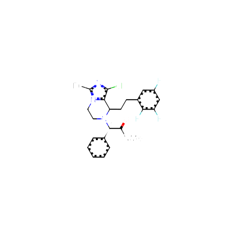 CCc1nc(Cl)c2n1CCN([C@@H](C(=O)NC)c1ccccc1)C2CCc1cc(F)cc(F)c1F